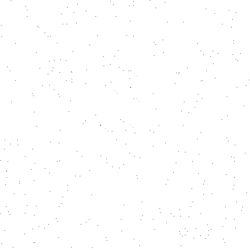 C=CCc1ncc2[nH]c(N)nc2n1